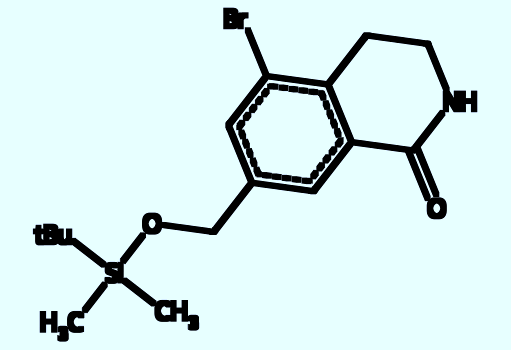 CC(C)(C)[Si](C)(C)OCc1cc(Br)c2c(c1)C(=O)NCC2